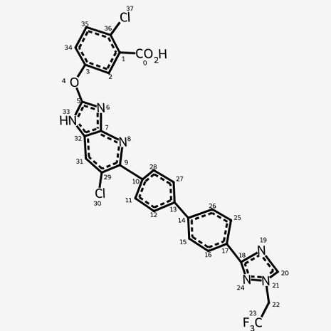 O=C(O)c1cc(Oc2nc3nc(-c4ccc(-c5ccc(-c6ncn(CC(F)(F)F)n6)cc5)cc4)c(Cl)cc3[nH]2)ccc1Cl